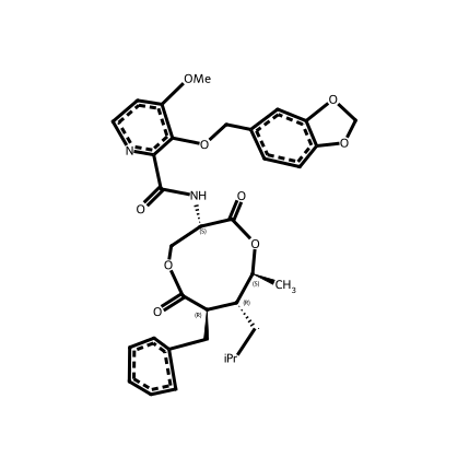 [CH2]C(C)[CH][C@H]1[C@H](C)OC(=O)[C@@H](NC(=O)c2nccc(OC)c2OCc2ccc3c(c2)OCO3)COC(=O)[C@@H]1Cc1ccccc1